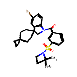 CC1(C)CCN1S(=O)(=O)c1cccc(C(=O)N2CC3(CCC4(CC4)CC3)c3cc(Br)ccc32)c1